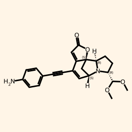 COC(OC)[C@H]1CC[C@H]2N1[C@@H]1C=C(C#Cc3ccc(N)cc3)C3=CC(=O)O[C@@]32C1